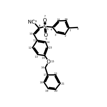 Cc1ccc(S(=O)(=O)/C(C#N)=C\c2ccc(OCc3ccccc3)cc2)cc1